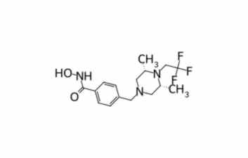 C[C@@H]1CN(Cc2ccc(C(=O)NO)cc2)C[C@H](C)N1CC(F)(F)F